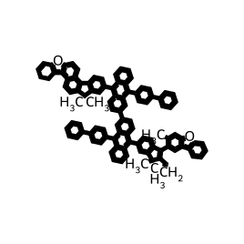 C=CC1=C(c2cc3c(cc2C)oc2ccccc23)c2ccc(-c3c4ccccc4c(-c4ccc(-c5ccccc5)cc4)c4cc(-c5ccc6c(-c7ccc8c(c7)C(C)(C)c7ccc9c(ccc%10oc%11c(c%109)CCC=C%11)c7-8)c7ccccc7c(-c7ccc(-c8ccccc8)cc7)c6c5)ccc34)cc2C1(C)C